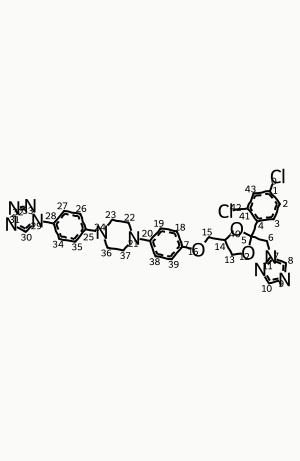 Clc1ccc(C2(Cn3cncn3)OCC(COc3ccc(N4CCN(c5ccc(-n6cnnn6)cc5)CC4)cc3)O2)c(Cl)c1